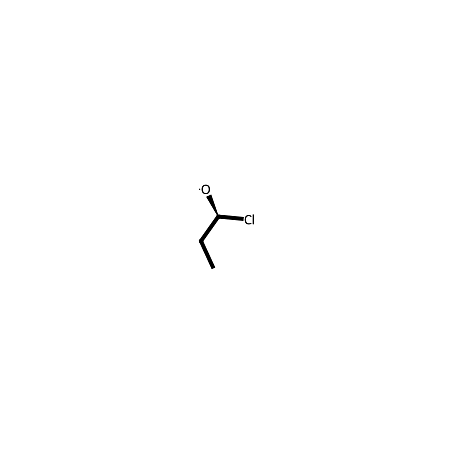 CC[C@@H]([O])Cl